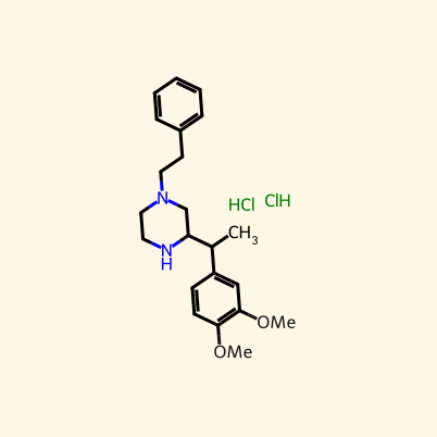 COc1ccc(C(C)C2CN(CCc3ccccc3)CCN2)cc1OC.Cl.Cl